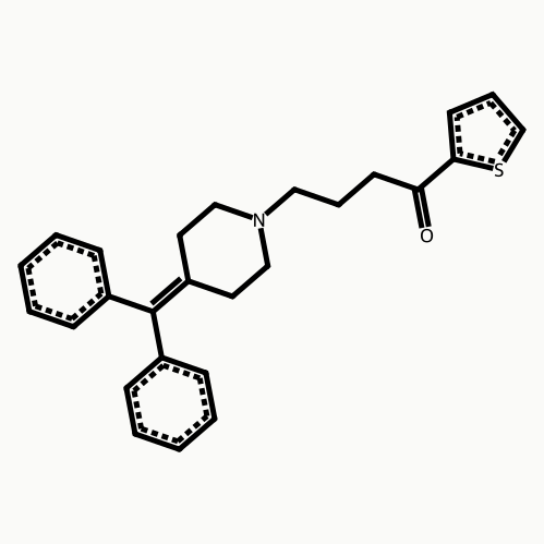 O=C(CCCN1CCC(=C(c2ccccc2)c2ccccc2)CC1)c1cccs1